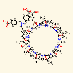 CC[C@@H]1NC(=O)[C@H]([C@H](O)[C@H](C)CCCCCCN(Cc2ccc(C(=O)O)cc2)Cc2ccc(C(=O)O)cc2)N(C)C(=O)[C@H](C(C)C)N(C)C(=O)[C@H](CC(C)C)N(C)C(=O)[C@H](CC(C)C)N(C)C(=O)[C@H](C)NC(=O)[C@@H](C)NC(=O)[C@@H](CC(C)C)N(C)C(=O)[C@@H](C(C)C)NC(=O)[C@H](CC(C)C)N(C)C(=O)[C@@H](CSCCCCO)N(C)C1=O